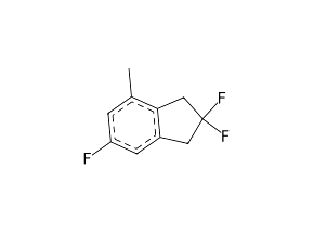 Cc1cc(F)cc2c1CC(F)(F)C2